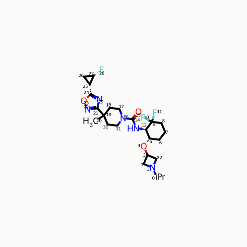 CC(C)N1CC(O[C@H]2CCCC(F)(F)[C@@H]2NC(=O)N2CCC(C)(c3noc([C@@H]4C[C@@H]4F)n3)CC2)C1